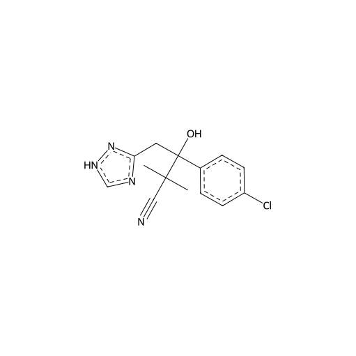 CC(C)(C#N)C(O)(Cc1nc[nH]n1)c1ccc(Cl)cc1